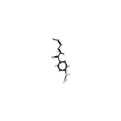 C/C=C\C=C(/C)C(=O)c1ccc(OCC)cc1